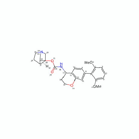 COc1cccc(OC)c1-c1ccc2c(c1)OCCC2NC(=O)O[C@@H]1CN2CCC1CC2